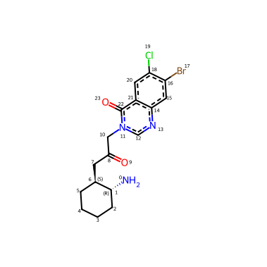 N[C@@H]1CCCC[C@H]1CC(=O)Cn1cnc2cc(Br)c(Cl)cc2c1=O